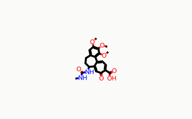 CNC(=O)NC1CCc2cc(OC)c(OC)c(OC)c2-c2ccc(C(=O)O)c(=O)cc21